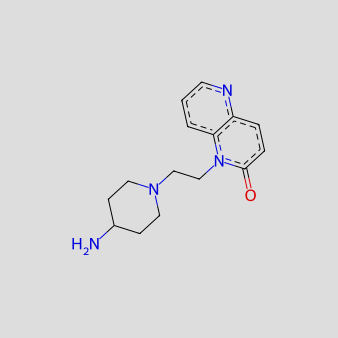 NC1CCN(CCn2c(=O)ccc3ncccc32)CC1